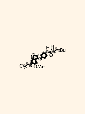 COc1cc2c(Oc3ccc(NC(=O)NCCC(C)(C)C)cc3)ccnc2cc1OCCCl